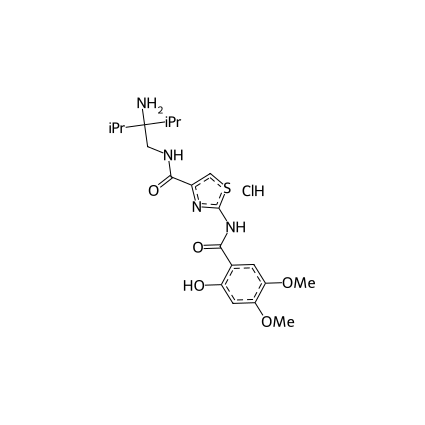 COc1cc(O)c(C(=O)Nc2nc(C(=O)NCC(N)(C(C)C)C(C)C)cs2)cc1OC.Cl